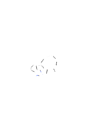 C=C1/C=C\C=C/CC/C=C\C(C)=C(\c2c3ccccc3nc[n+]2C)C(=C)O1